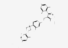 Cc1onc(-c2c(Cl)cc(F)cc2Cl)c1COc1ccc(C2(O)CN(c3ncc(C(=O)O)cc3F)C2)c(Cl)c1